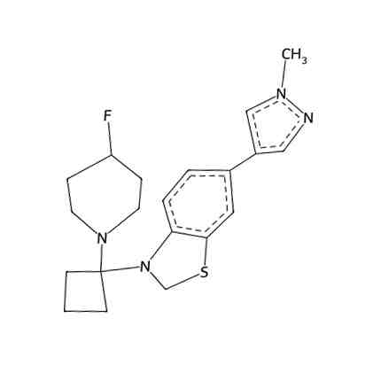 Cn1cc(-c2ccc3c(c2)SCN3C2(N3CCC(F)CC3)CCC2)cn1